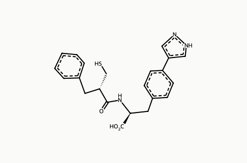 O=C(N[C@@H](Cc1ccc(-c2cn[nH]c2)cc1)C(=O)O)[C@@H](CS)Cc1ccccc1